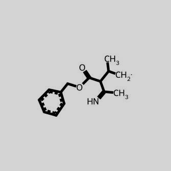 [CH2]C(C)C(C(C)=N)C(=O)OCc1ccccc1